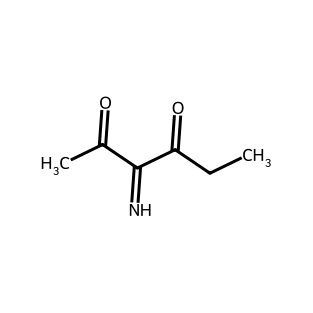 CCC(=O)C(=N)C(C)=O